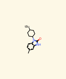 Cc1ccc2c(c1)[nH]c(=O)n2C1CCC(C(C)(C)C)CC1